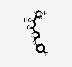 O=C(C=C(O)c1nc[nH]n1)c1ccc(Oc2ccc(F)cc2)o1